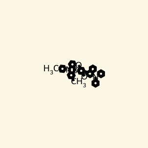 Cc1ccc(N2c3ccc(C)cc3B3c4cc5oc6cc(N(c7ccccc7)c7ccccc7)c7ccccc7c6c5cc4Oc4cccc2c43)cc1